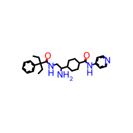 CCC(CC)(C(=O)NCC(N)C1CCC(C(=O)Nc2ccncc2)CC1)c1ccccc1